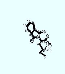 CC[C@@H](O)C[C@H](C(=O)OC)N1C(=O)c2ccccc2C1=O